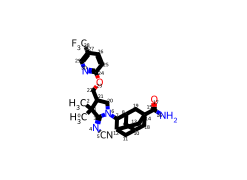 CC1(C)/C(=N/C#N)N(C2C3CC4CC2CC(C(N)=O)(C4)C3)CC1COc1ccc(C(F)(F)F)cn1